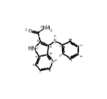 NC(=O)c1[nH]c2cccnc2c1Sc1ccccc1